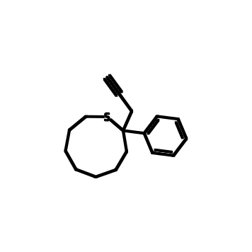 C#CCC1(c2ccccc2)CCCCCCCS1